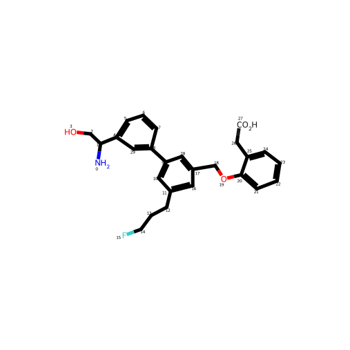 NC(CO)c1cccc(-c2cc(CCCF)cc(COc3ccccc3CC(=O)O)c2)c1